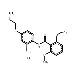 CCCOc1ccc(PC(=O)c2c(OC)cccc2OC)c(C)c1.[LiH]